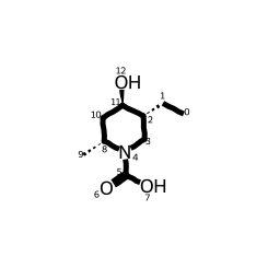 CC[C@@H]1CN(C(=O)O)[C@H](C)C[C@H]1O